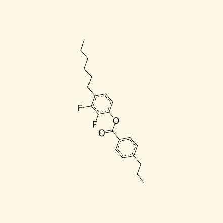 CCCCCCc1ccc(OC(=O)c2ccc(CCC)cc2)c(F)c1F